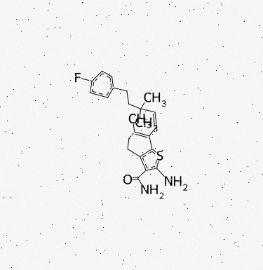 CC1=C(/C=C\C(C)(C)CCc2ccc(F)cc2)c2sc(N)c(C(N)=O)c2CC1